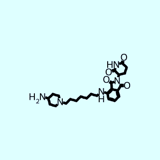 NC1CCN(CCCCCCCNc2cccc3c2C(=O)N(C2CCC(=O)NC2=O)C3=O)CC1